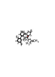 CN(C)CCC(=O)N(C)c1c(-c2cc(F)ccc2F)ccnc1N1CC[C@H](F)C1